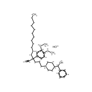 CCCCCCCCCCCCC(C#N)(CCCN1CCC(C(O)c2ccccc2)CC1)c1ccc(OC)c(OC)c1.Cl